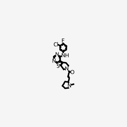 CN1CCCCC1C=CC(=O)N1CCc2c(sc3ncnc(Nc4ccc(F)c(Cl)c4)c23)C1